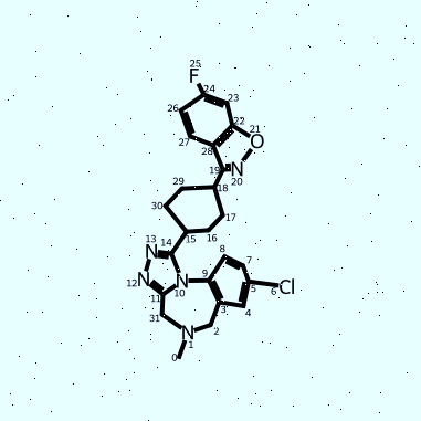 CN1Cc2cc(Cl)ccc2-n2c(nnc2C2CCC(c3noc4cc(F)ccc34)CC2)C1